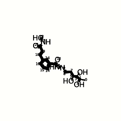 C[C@@H](O)[C@@H](O)[C@@H](O)C/C=N/NC(=O)c1cccc(/C=C/C(=O)NO)c1